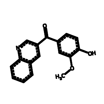 COc1cc(C(=O)c2cnc3ccccc3c2)ccc1O